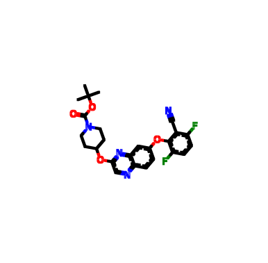 CC(C)(C)OC(=O)N1CCC(Oc2cnc3ccc(Oc4c(F)ccc(F)c4C#N)cc3n2)CC1